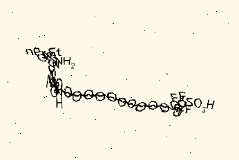 CCCN(OCC)C(=O)C1=Cc2ccc(-n3cc(S(=O)(=O)NCCOCCOCCOCCOCCOCCOCCOCCOCCOCCOCCC(=O)Oc4c(F)c(F)c(S(=O)(=O)O)c(F)c4F)cn3)cc2N=C(N)C1